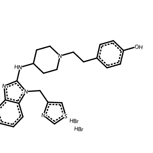 Br.Br.Oc1ccc(CCN2CCC(Nc3nc4ccccc4n3Cc3cscn3)CC2)cc1